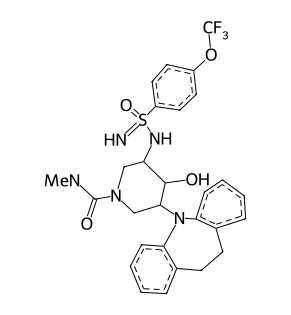 CNC(=O)N1CC(NS(=N)(=O)c2ccc(OC(F)(F)F)cc2)C(O)C(N2c3ccccc3CCc3ccccc32)C1